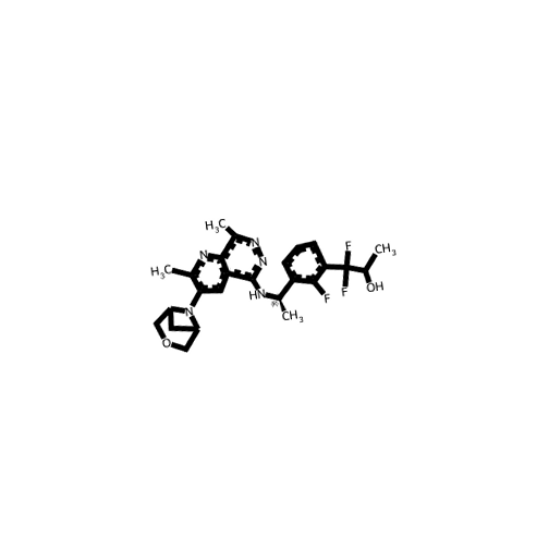 Cc1nc2c(C)nnc(N[C@H](C)c3cccc(C(F)(F)C(C)O)c3F)c2cc1N1C2COCC1C2